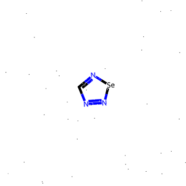 c1nn[se]n1